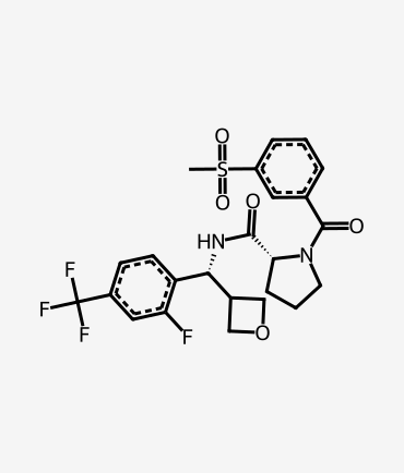 CS(=O)(=O)c1cccc(C(=O)N2CCC[C@@H]2C(=O)N[C@@H](c2ccc(C(F)(F)F)cc2F)C2COC2)c1